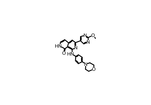 COc1ncc(-c2cc3cc[nH]c(=O)c3c(Nc3ccc(N4CCOCC4)cc3)n2)cn1